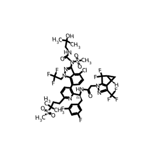 CC(C)(O)CNC(=O)N(c1nn(CC(F)(F)F)c2c(-c3ccc(CCC(C)(C)S(C)(=O)=O)nc3[C@H](Cc3cc(F)cc(F)c3)NC(=O)Cn3nc(C(F)(F)F)c4c3C(F)(F)C3C[C@H]43)ccc(Cl)c12)S(C)(=O)=O